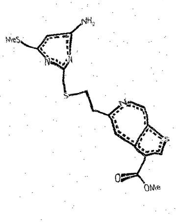 COC(=O)c1csc2cnc(CCSc3nc(N)cc(SC)n3)cc12